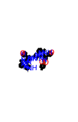 CC(Nc1ncnc2[nH]cc(C3=CCOCC3)c12)c1cccc(N2C[C@@H](C)N[C@@H](C)C2)n1.Cc1ccc(S(=O)(=O)n2cc(C3=CCOCC3)c3c(NC(C)c4cccc(N5C[C@@H](C)N[C@@H](C)C5)n4)ncnc32)cc1